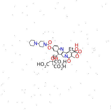 CCc1c2c(nc3ccc(OC(=O)N4CCC(N5CCCCC5)CC4)cc13)-c1cc3c(c(=O)n1C2)COC(=O)[C@]3(O)CC.O=C(O)CC(O)(CC(=O)O)C(=O)O